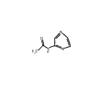 O=C(Nc1cnccn1)C(F)(F)F